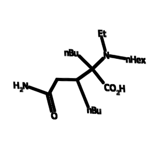 CCCCCCN(CC)C(CCCC)(C(=O)O)C(CCCC)CC(N)=O